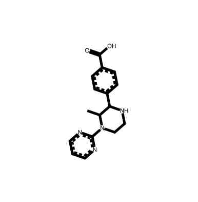 CC1C(c2ccc(C(=O)O)cc2)NCCN1c1ncccn1